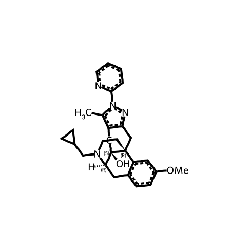 COc1ccc2c(c1)[C@]13CCN(CC4CC4)[C@H](C2)[C@]1(O)Cc1c(nn(-c2ccccn2)c1C)C3